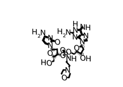 N=c1[nH]c(N)nc2c1ncn2[C@H]1C[C@@H](O)[C@@H](COP(=O)(NCCN2CCOCC2)O[C@@H]2C[C@H](n3ccc(N)nc3=O)O[C@@H]2CO)O1